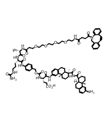 CC(C)[C@H](NC(=O)CCOCCOCCOCCOCCNC(=O)CCC(=O)N1Cc2ccccc2C#Cc2ccccc21)C(=O)N[C@@H](CCCNC(N)=O)C(=O)Nc1ccc(COC(=O)N[C@@H](CCC(=O)O)C(=O)Nc2ccc3c(c2)[C@@]2(C)CCC[C@](C)(C(=O)NC(=O)[C@@]4(C)CCC[C@]5(C)c6cc(N)ccc6CC[C@@H]45)C2CC3)cc1